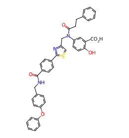 O=C(NCc1ccc(Oc2ccccc2)cc1)c1ccc(-c2nc(CN(C(=O)CCc3ccccc3)c3ccc(O)c(C(=O)O)c3)cs2)cc1